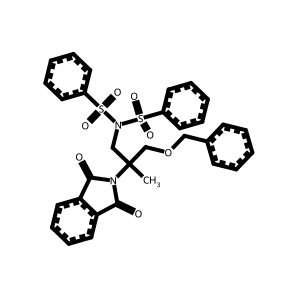 CC(COCc1ccccc1)(CN(S(=O)(=O)c1ccccc1)S(=O)(=O)c1ccccc1)N1C(=O)c2ccccc2C1=O